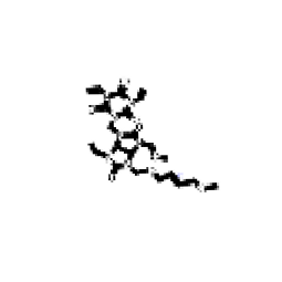 C=Cn1c(=O)n(C=C)c(=O)n(CN2C(=O)N(COC)C3C2N(CC)C(=O)N3COC/C=C/COC)c1=O